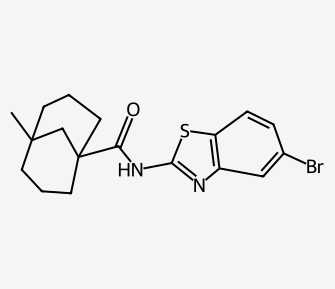 CC12CCCC(C(=O)Nc3nc4cc(Br)ccc4s3)(CCC1)C2